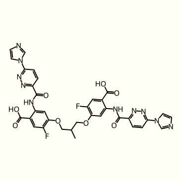 CC(COc1cc(NC(=O)c2ccc(-n3ccnc3)nn2)c(C(=O)O)cc1F)COc1cc(NC(=O)c2ccc(-n3ccnc3)nn2)c(C(=O)O)cc1F